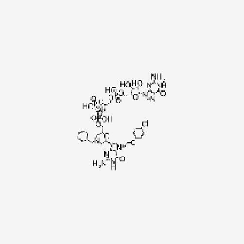 Nc1nc2c(ncn2[C@@H]2O[C@H](COP(=O)(O)OCC(COP(=O)(O)OC[C@@H]3CN(Cc4ccccc4)C[C@H](n4c[n+](CCOc5ccc(Cl)cc5)c5c(=O)[nH]c(N)nc54)O3)OP(=O)(O)O)[C@@H](O)[C@H]2O)c(=O)[nH]1